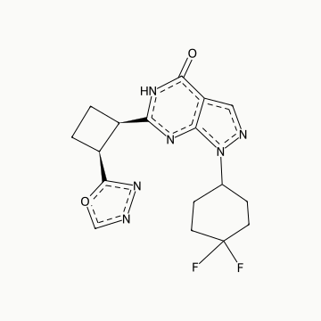 O=c1[nH]c([C@@H]2CC[C@@H]2c2nnco2)nc2c1cnn2C1CCC(F)(F)CC1